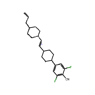 C=CCC1CCC(/C=C/C2CCC(c3cc(F)c(C#N)c(F)c3)CC2)CC1